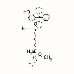 CCOC(OCC)[SiH2]CCCCCCCCOc1ccc(O)cc1[P+](C1CCCCC1)(C1CCCCC1)C1CCCCC1.[Br-]